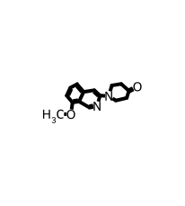 COc1cccc2cc(N3CCC(=O)CC3)ncc12